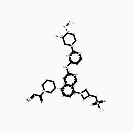 C=CC(=O)N1CCC[C@H](c2ccc(N3CC(CS(C)(=O)=O)C3)c3cnc(Nc4ccnc(N5CC[C@@H](OC)[C@@H](F)C5)n4)cc23)C1